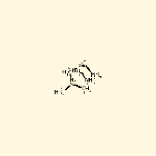 CC(C)(C)N.CC(C)(C)N.C[SiH](C)C